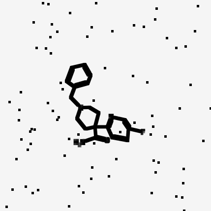 NC(=O)C1(c2ccc(F)cn2)CCN(Cc2ccccc2)CC1